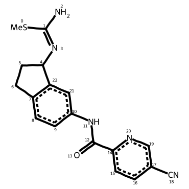 CS/C(N)=N\C1CCc2ccc(NC(=O)c3ccc(C#N)cn3)cc21